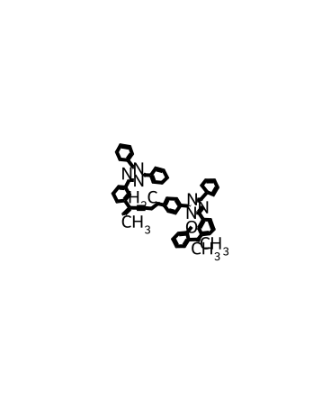 C=C(CC#C/C(=C\C)C1=CC(c2nc(C3=CCCC=C3)nc(C3=CC=CCC3)n2)=CCC1)c1ccc(-c2nc(-c3cccc4c3Oc3ccccc3C4(C)C)nc(C3C=CC=CC3)n2)cc1